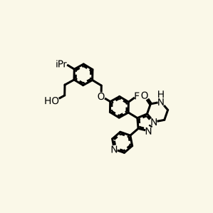 CC(C)c1ccc(COc2ccc(-c3c(-c4ccncc4)nn4c3C(=O)NCC4)c(F)c2)cc1CCO